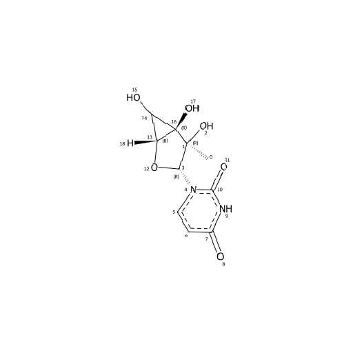 C[C@]1(O)[C@H](n2ccc(=O)[nH]c2=O)O[C@@H]2C(O)[C@@]21O